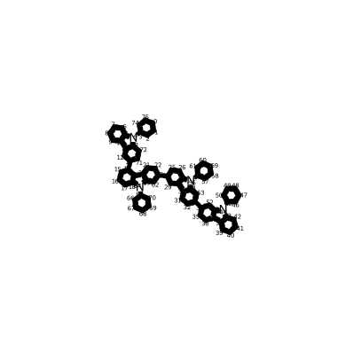 c1ccc(-n2c3ccccc3c3cc(-c4cccc5c4c4ccc(-c6ccc7c(c6)c6ccc(-c8ccc9c%10ccccc%10n(-c%10ccccc%10)c9c8)cc6n7-c6ccccc6)cc4n5-c4ccccc4)ccc32)cc1